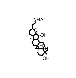 CC(=O)NCCC1C[C@@H](C)C2C(O1)[C@H](O)[C@@]1(C)[C@@H]3CC[C@H]4C(C)(C)[C@@H](O)CC[C@@]45CC35CC[C@]21C